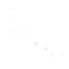 O=C1O[C@@H](CCN2CCN(c3ccccc3)CC2)CC1c1ccccc1